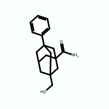 NC(=O)C12CC3CC(CO)(C1)CC(c1ccccc1)(C3)C2